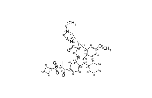 CCN1CC2CC1CN2C(=O)C12CC1c1cc(OC)ccc1-c1c(C3CCCCC3)c3ccc(C(=O)NS(=O)(=O)N4CCC4)cc3n1C2